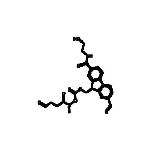 CN(OC(=O)OCC1c2cc(C=O)ccc2-c2ccc(C(=O)NCCO)cc21)C(=O)CCC=O